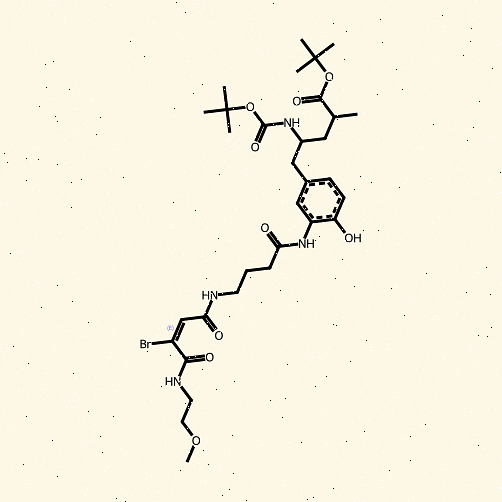 COCCNC(=O)/C(Br)=C\C(=O)NCCCC(=O)Nc1cc(CC(CC(C)C(=O)OC(C)(C)C)NC(=O)OC(C)(C)C)ccc1O